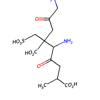 CC(CC(=O)C(N)C(CC(=O)CN)(CS(=O)(=O)O)C(=O)O)C(=O)O